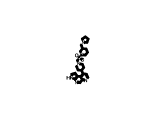 O=S(=O)(CN1CCC(c2ccnc3cnc4[nH]ccc4c23)CC1)N1CCCC(CN2CCCC2)C1